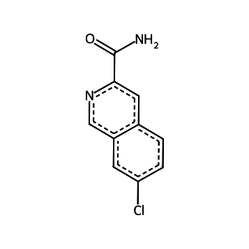 NC(=O)c1cc2ccc(Cl)cc2cn1